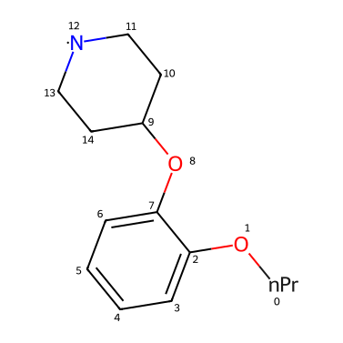 CCCOc1ccccc1OC1CC[N]CC1